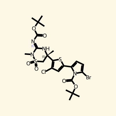 CN1/C(=N/C(=O)OC(C)(C)C)N[C@](C)(c2sc(-c3ccc(Br)n3C(=O)OC(C)(C)C)cc2Cl)CS1(=O)=O